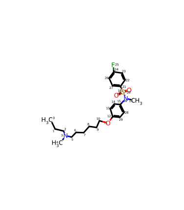 CCCN(C)CCCCCCOc1ccc(N(C)S(=O)(=O)c2ccc(F)cc2)cc1